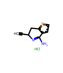 C#CC1Cc2sccc2C(N)=N1.Cl